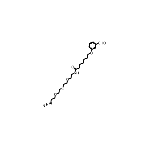 [N-]=[N+]=NCCOCCOCCOCCNC(=O)CCCCCCOc1cccc(C=O)c1